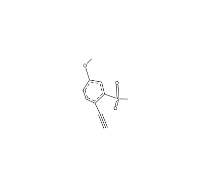 C#Cc1ccc(OC)cc1S(C)(=O)=O